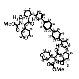 COC(=O)N[C@H](C(=O)N1[C@H](C)CC[C@H]1c1ncc(-c2ccc(-c3ccc(-c4cnc([C@@H]5CC[C@@H](C)N5C(=O)[C@@H](NC(=O)OC)C5CCOCC5)[nH]4)cc3)cc2)[nH]1)C1CCOCC1